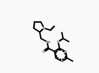 CCN1CCCC1CNC(=O)c1cnc(C)nc1OC(C)C